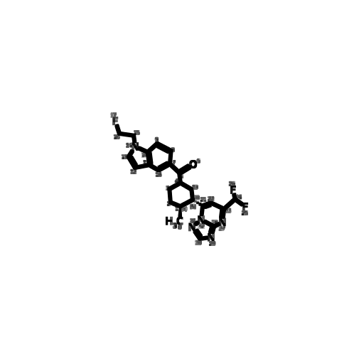 C[C@H]1CCC(C(=O)c2ccc3c(ccn3CCF)c2)C[C@@H]1c1cc(C(F)F)nc2ncnn12